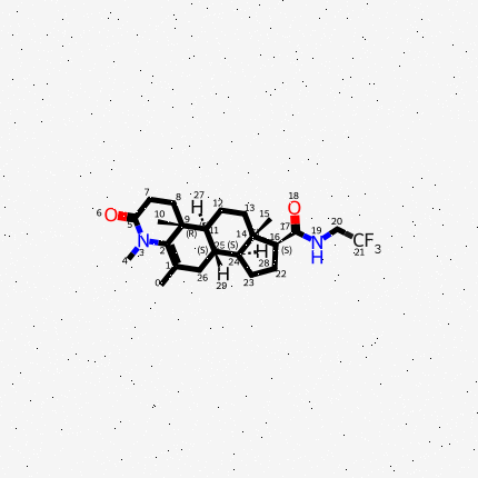 CC1=C2N(C)C(=O)CC[C@]2(C)[C@H]2CC[C@]3(C)[C@@H](C(=O)NCC(F)(F)F)CC[C@H]3[C@@H]2C1